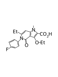 CCOc1c(C(=O)O)n(C)c2cc(CC)n(-c3ccc(F)cc3)c(=O)c12